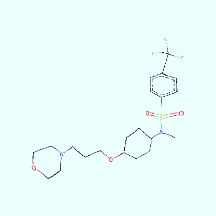 CN(C1CCC(OCCCN2CCOCC2)CC1)S(=O)(=O)c1ccc(C(F)(F)F)cc1